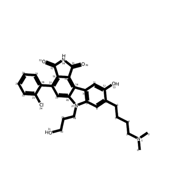 CN(C)CCCCc1cc2c(cc1O)c1c3c(c(-c4ccccc4Cl)cc1n2CCCO)C(=O)NC3=O